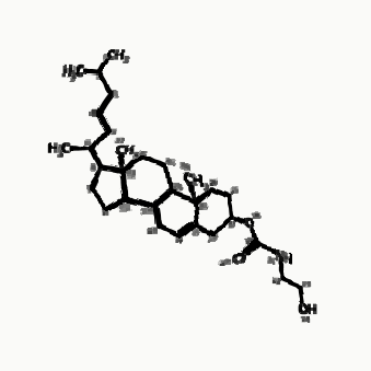 CC(C)CCC[C@H](C)[C@@H]1CCC2C3CC=C4C[C@H](OC(=O)NCCO)CC[C@@]4(C)C3CC[C@]21C